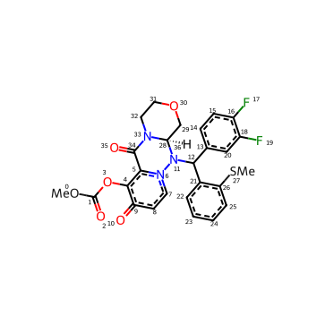 COC(=O)Oc1c2n(ccc1=O)N(C(c1ccc(F)c(F)c1)c1ccccc1SC)[C@@H]1COCCN1C2=O